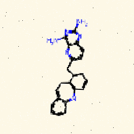 Nc1nc(N)c2nc(CC3CC=CC4=C3CC=c3ccccc3=N4)ccc2n1